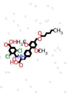 CCCCCC(=O)OCc1cc(OC)c(-c2ccc(C[C@H](NC(=O)c3c(Cl)cc(C(=O)O)cc3Cl)C(=O)O)cc2)c(OC)c1